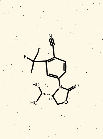 N#Cc1ccc(N2C(=O)OC[C@@H]2C(O)O)cc1C(F)(F)F